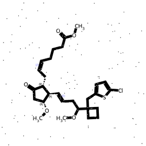 COC(=O)CCC/C=C\C[C@H]1C(=O)C[C@@H](OC)[C@@H]1/C=C/CC(OC)C1(Cc2ccc(Cl)s2)CCC1